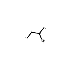 [CH2]C(S)CC